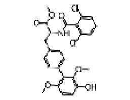 COC(=O)[C@H](Cc1ccc(-c2c(OC)ccc(O)c2OC)cc1)NC(=O)c1c(Cl)cccc1Cl